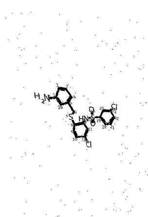 Nc1cccc(CSc2ccc(Cl)cc2NS(=O)(=O)c2cccc(Cl)c2)c1